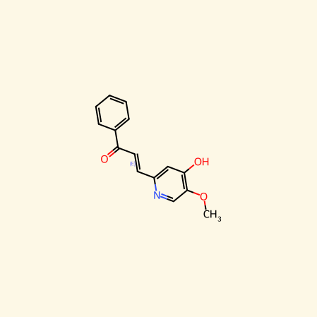 COc1cnc(/C=C/C(=O)c2ccccc2)cc1O